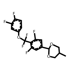 CC1COC(c2cc(F)c(C(F)(F)Oc3ccc(F)c(F)c3)c(F)c2)OC1